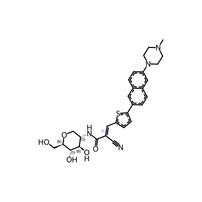 CN1CCN(c2ccc3cc(-c4ccc(/C=C(\C#N)C(=O)N[C@H]5CO[C@H](CO)[C@@H](O)[C@@H]5O)s4)ccc3c2)CC1